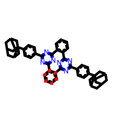 c1ccc(-c2nc(-c3ccc(C45CC6CC(CC(C6)C4)C5)cc3)nc(-c3ccccc3-c3nc(-c4ccccc4)nc(-c4ccc(C56CC7CC(CC(C7)C5)C6)cc4)n3)n2)cc1